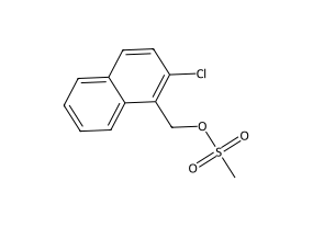 CS(=O)(=O)OCc1c(Cl)ccc2ccccc12